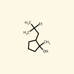 CCC(C)(C)CC1CCCC1(C)O